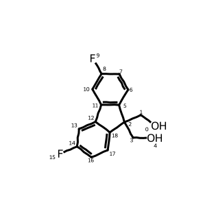 OCC1(CO)c2ccc(F)cc2-c2cc(F)ccc21